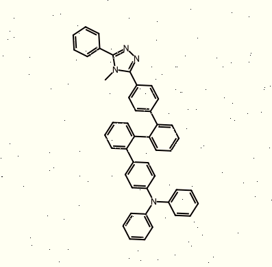 Cn1c(-c2ccccc2)nnc1-c1ccc(-c2ccccc2-c2ccccc2-c2ccc(N(c3ccccc3)c3ccccc3)cc2)cc1